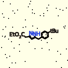 CCOC(=O)Cc1cc(Cc2ccc(C(C)(C)C)cc2)[nH]n1